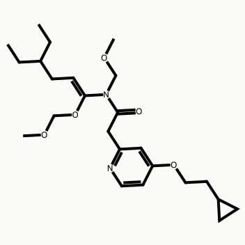 CCC(CC)C/C=C(\OCOC)N(COC)C(=O)Cc1cc(OCCC2CC2)ccn1